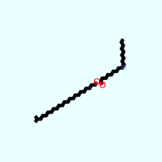 CCCCCCCC/C=C\CCCCCCCC(=O)OCCCCCCCCCCCCCCCCCCCCCC(C)C